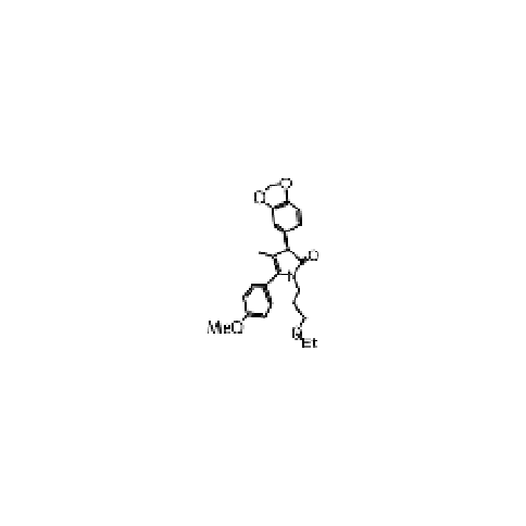 CCOCCCN1C(=O)C(c2ccc3c(c2)OCO3)C(C)=C1c1ccc(OC)cc1